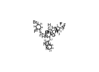 CC(C)(Cn1cc(C(F)(F)F)cn1)NC(=O)[C@@H](Cc1cnc2ncccn12)NC(=O)[C@@H]1C[C@H]1c1ccc(Br)cc1F